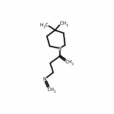 C=NCCC(=C)N1CCC(C)(C)CC1